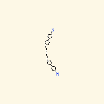 N#Cc1ccc(-c2ccc(CCCCCCCc3ccc(-c4ccc(C#N)cc4)cc3)cc2)cc1